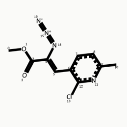 COC(=O)C(=Cc1ccc(C)nc1Cl)N=[N+]=[N-]